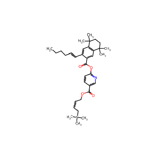 CCCCC=Cc1cc2c(cc1C(=O)Oc1ccc(C(=O)OC/C=C\C[Si](C)(C)C)cn1)C(C)(C)CCC2(C)C